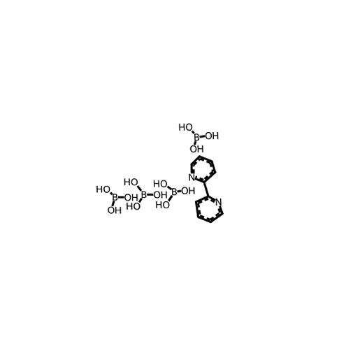 OB(O)O.OB(O)O.OB(O)O.OB(O)O.c1ccc(-c2ccccn2)nc1